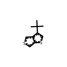 CC(C)(C)c1csc2cscc12